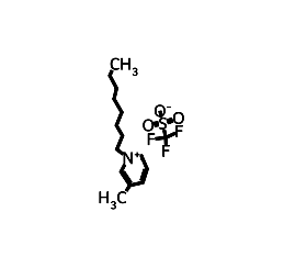 CCCCCCCC[n+]1cccc(C)c1.O=S(=O)([O-])C(F)(F)F